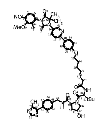 COc1c(C#N)ccc(N2C(=O)C(C)(C)N(c3ccc(-c4ccc(OCCCCOCC(=O)N[C@H](C(=O)N5C[C@H](O)C[C@H]5C(=O)NCc5ccc(-c6scnc6C)cc5)C(C)(C)C)cc4)nc3)C2=S)c1F